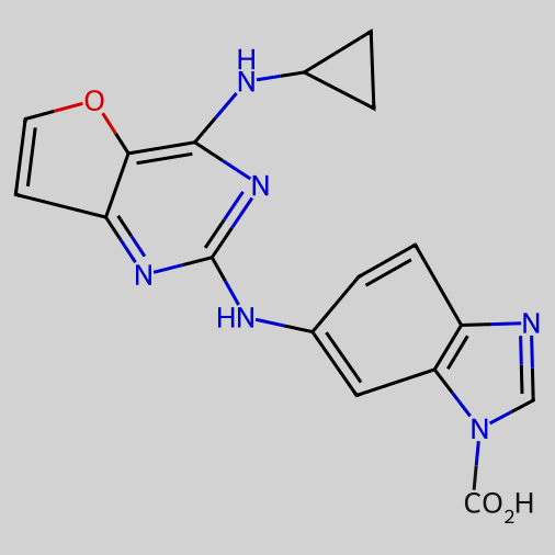 O=C(O)n1cnc2ccc(Nc3nc(NC4CC4)c4occc4n3)cc21